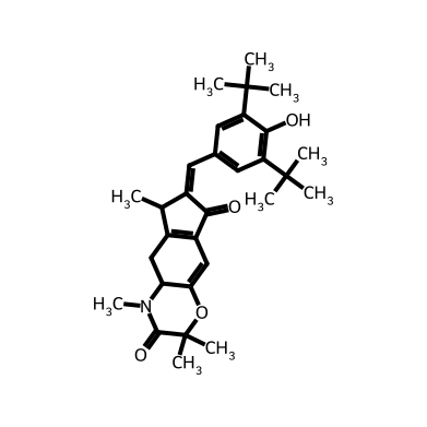 CC1C(=Cc2cc(C(C)(C)C)c(O)c(C(C)(C)C)c2)C(=O)C2=C1CC1C(=C2)OC(C)(C)C(=O)N1C